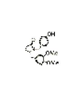 COc1ccc(C[C@@H]2CCC(=O)N2Cc2ccc(O)cc2)cc1OC